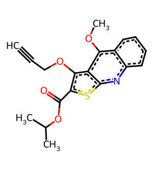 C#CCOc1c(C(=O)OC(C)C)sc2nc3ccccc3c(OC)c12